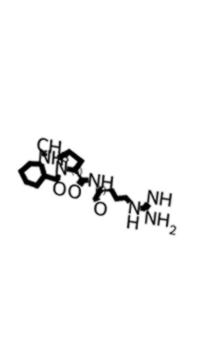 CNC1CCCCC1C(=O)N1CCC[C@H]1C(=O)N[C@H](C=O)CCCNC(=N)N